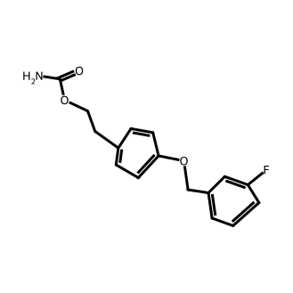 NC(=O)OCCc1ccc(OCc2cccc(F)c2)cc1